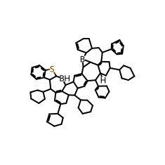 B1C2Sc3ccccc3C2C(C2CCCCC2)C2=C3C1C1C=C4C(=CC1C(C1CCCCC1)C3CC(C1C=CCCC1)=C2)C(C1=CC=CCC1)[C@H]1CC(C2CCCCC2)CC2=C1C1B(C3C=CCCC3CC2c2ccccc2)C41